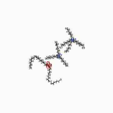 CCCCC/C=C\C/C=C\CCCCCCCC(=O)OC(=O)CCCCCCC/C=C\C/C=C\CCCCC.CCCCCCCC[N+](C)(CCCCCCCC)CCCCCCCC.CCCCCCCC[N+](CCCCCCCC)(CCCCCCCC)CCCCCCCC